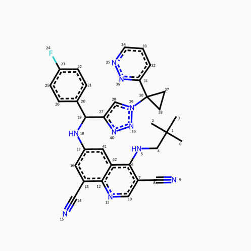 CC(C)(C)CNc1c(C#N)cnc2c(C#N)cc(NC(c3ccc(F)cc3)c3cn(C4(c5cccnn5)CC4)nn3)cc12